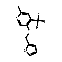 Cc1cc(C(F)(F)F)c(OCc2ccco2)cn1